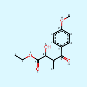 CCOC(=O)C(O)C(C)C(=O)c1ccc(OC)cc1